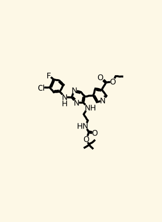 CCOC(=O)c1cncc(-c2cnc(Nc3ccc(F)c(Cl)c3)nc2NCCNC(=O)OC(C)(C)C)c1